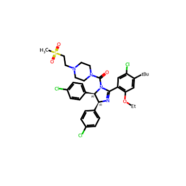 CCOc1cc(C(C)(C)C)c(Cl)cc1C1=N[C@@H](c2ccc(Cl)cc2)[C@@H](c2ccc(Cl)cc2)N1C(=O)N1CCN(CCS(C)(=O)=O)CC1